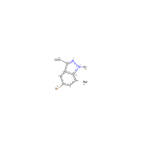 CCn1nc(C(=O)[O-])c2cc(Br)ccc21.[Na+]